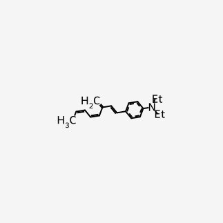 C=C(/C=C\C=C/C)/C=C/c1ccc(N(CC)CC)cc1